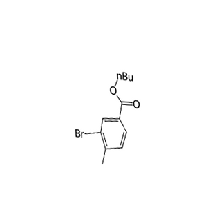 CCCCOC(=O)c1ccc(C)c(Br)c1